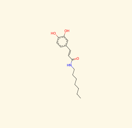 CCCCCCCNC(=O)/C=C/c1ccc(O)c(O)c1